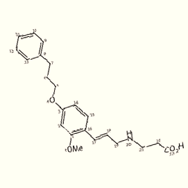 COc1cc(OCCCc2ccccc2)ccc1/C=C/CNCCC(=O)O